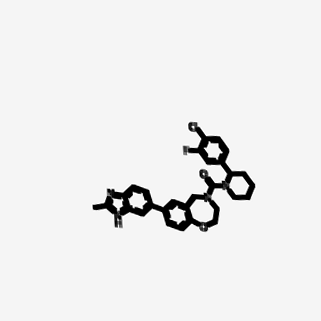 Cc1nc2ccc(-c3ccc4c(c3)CN(C(=O)N3CCCCC3c3ccc(Cl)c(F)c3)CCO4)cc2[nH]1